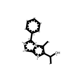 Cc1c(C(C)O)sc2nnc(-c3ccccc3)n12